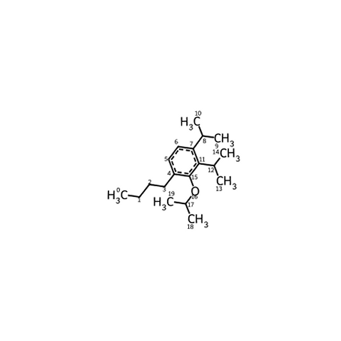 CCCCc1ccc(C(C)C)c(C(C)C)c1OC(C)C